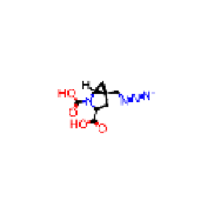 [N-]=[N+]=NC[C@@]12C[C@@H](C(=O)O)N(C(=O)O)[C@@H]1C2